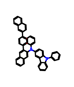 c1ccc(N(c2ccc3c(c2)c2ccccc2n3-c2ccccc2)c2cc3ccccc3cc2-c2ccc(-c3ccc4ccccc4c3)cc2)cc1